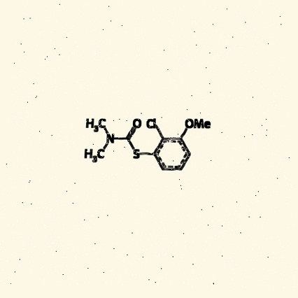 COc1cccc(SC(=O)N(C)C)c1Cl